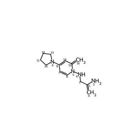 C=C(N)CNN1C=CC(N2CCCC2)=CC1=C